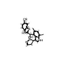 Cc1cc(C)c2[nH]cc(C3CC=NN3)c2c1C(O)c1nc2cc(C#N)ccc2[nH]1